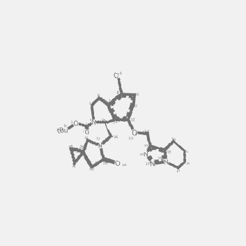 CC(C)(C)OC(=O)N1CCc2c(Cl)ccc(OCc3nnn4c3CCCC4)c2[C@H]1CN1CC2(CC2)CC1=O